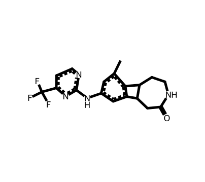 Cc1cc(Nc2nccc(C(F)(F)F)n2)cc2c1C1CCNC(=O)CC21